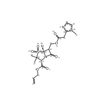 C=CCOC(=O)[C@@H]1N2C(=O)C(COC(=O)Cc3nccn3C)[C@H]2S(=O)(=O)C1(C)C